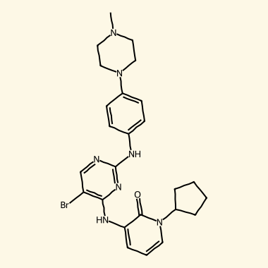 CN1CCN(c2ccc(Nc3ncc(Br)c(Nc4cccn(C5CCCC5)c4=O)n3)cc2)CC1